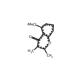 COc1cccc2oc(C)c(C)c(=O)c12